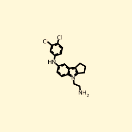 NCCn1c2c(c3cc(Nc4ccc(Cl)c(Cl)c4)ccc31)CCC2